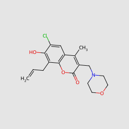 C=CCc1c(O)c(Cl)cc2c(C)c(CN3CCOCC3)c(=O)oc12